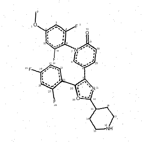 COc1cc(F)c(-n2cc(-c3nc(C4CCNCC4)oc3-c3ccc(F)cc3F)ccc2=O)c(F)c1